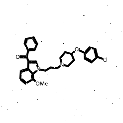 COc1cccc2c(C(=O)c3ccccc3)cn(CCCN3CCC(Oc4ccc(Cl)cc4)CC3)c12